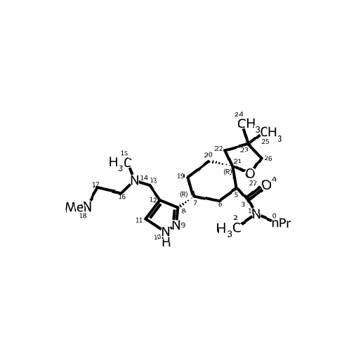 CCCN(C)C(=O)C1C[C@H](c2n[nH]cc2CN(C)CCNC)CC[C@@]12CC(C)(C)CO2